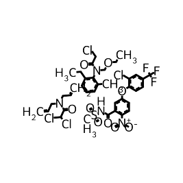 C=CCN(CC=C)C(=O)C(Cl)Cl.CCOCN(C(=O)CCl)c1c(C)cccc1CC.CS(=O)(=O)NC(=O)c1cc(Oc2ccc(C(F)(F)F)cc2Cl)ccc1[N+](=O)[O-]